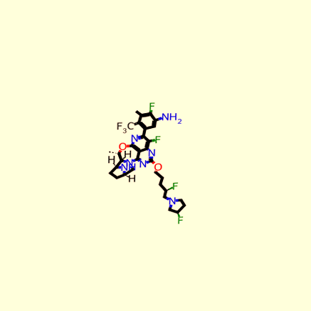 Cc1c(F)c(N)cc(-c2nc3c4c(nc(OCCC[C@@H](F)CN5CC[C@@H](F)C5)nc4c2F)N2C[C@H]4CC[C@H](N4)[C@H]2[C@H](C)O3)c1C(F)(F)F